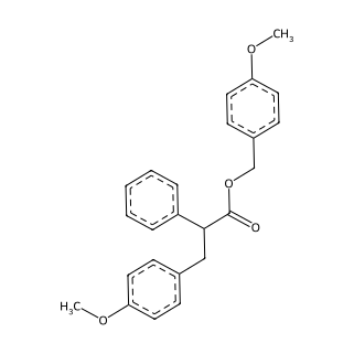 COc1ccc(COC(=O)C(Cc2ccc(OC)cc2)c2ccccc2)cc1